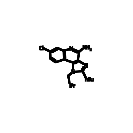 CCCCc1nc2c(N)nc3cc(Cl)ccc3c2n1CC(C)C